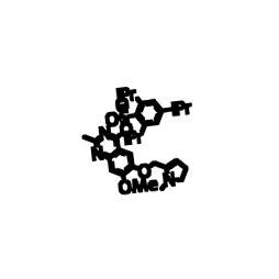 COc1cc2nc(C)nc(OS(=O)(=O)c3c(C(C)C)cc(C(C)C)cc3C(C)C)c2cc1OCC1=CCCN1C